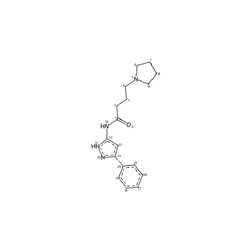 O=C(CCCN1CCCC1)Nc1cc(-c2ccccc2)n[nH]1